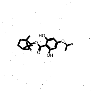 CC(C)Oc1cc(O)c(C(=O)OC2CC3CCC2(C)C3(C)C)c(O)c1